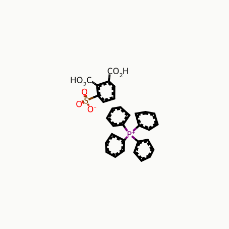 O=C(O)c1cccc(S(=O)(=O)[O-])c1C(=O)O.c1ccc([P+](c2ccccc2)(c2ccccc2)c2ccccc2)cc1